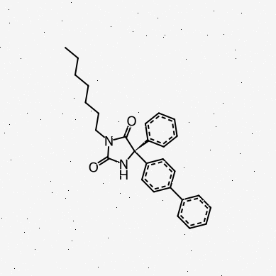 CCCCCCCN1C(=O)N[C@@](c2ccccc2)(c2ccc(-c3ccccc3)cc2)C1=O